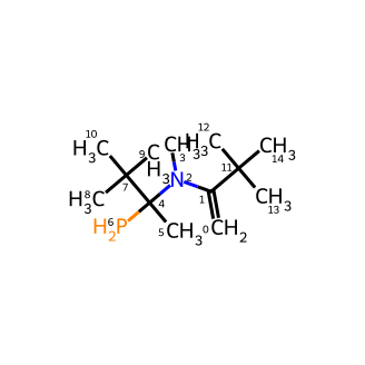 C=C(N(C)C(C)(P)C(C)(C)C)C(C)(C)C